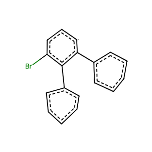 Brc1cc[c]c(-c2ccccc2)c1-c1ccccc1